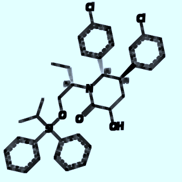 CC[C@@H](CO[Si](c1ccccc1)(c1ccccc1)C(C)C)N1C(=O)C(O)C[C@H](c2cccc(Cl)c2)[C@H]1c1ccc(Cl)cc1